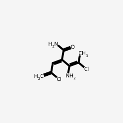 C=C(Cl)/C=C(C(N)=O)\C(N)=C(/C)Cl